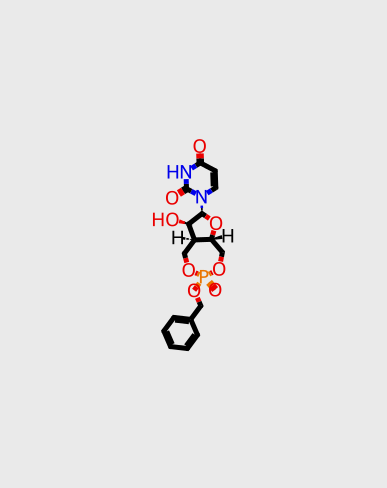 O=c1ccn([C@@H]2O[C@@H]3COP(=O)(OCc4ccccc4)OC[C@H]3[C@H]2O)c(=O)[nH]1